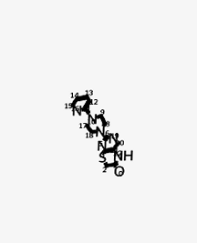 O=C1CSc2nc(N3CCN(c4ccccn4)CC3)ncc2N1